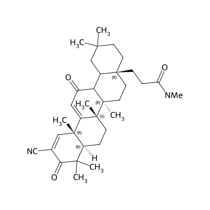 CNC(=O)CC[C@]12CCC(C)(C)CC1C1C(=O)C=C3[C@@]4(C)C=C(C#N)C(=O)C(C)(C)[C@@H]4CC[C@@]3(C)[C@]1(C)CC2